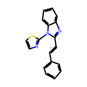 C(=C\c1nc2ccccc2n1-c1nccs1)/c1ccccc1